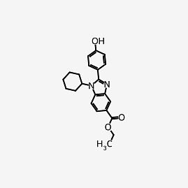 CCOC(=O)c1ccc2c(c1)nc(-c1ccc(O)cc1)n2C1CCCCC1